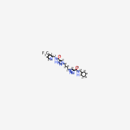 O=C(NCc1cc(C(F)(F)F)ccn1)c1cn(CCCCn2cc(C(=O)NCC3CCCCC3)nn2)nn1